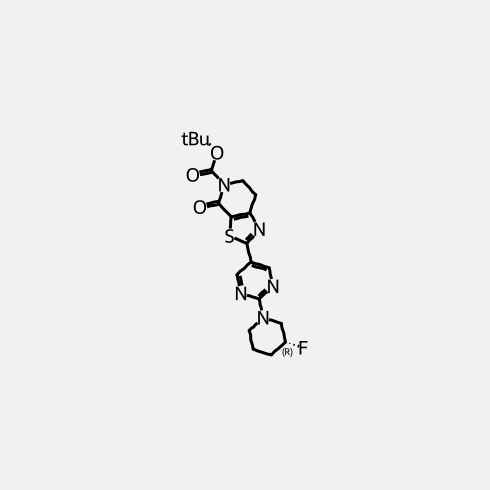 CC(C)(C)OC(=O)N1CCc2nc(-c3cnc(N4CCC[C@@H](F)C4)nc3)sc2C1=O